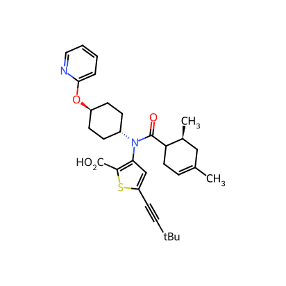 CC1=CCC(C(=O)N(c2cc(C#CC(C)(C)C)sc2C(=O)O)[C@H]2CC[C@H](Oc3ccccn3)CC2)[C@@H](C)C1